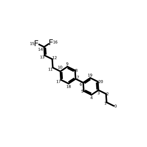 CCCc1ccc(-c2ccc(CCC=C(F)F)cc2)cc1